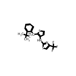 CC(C)(C)c1ccccc1Oc1sccc1Nc1nc(C(F)(F)F)cs1